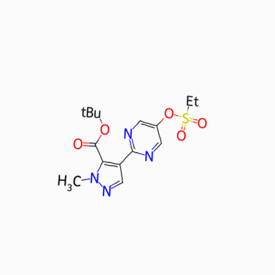 CCS(=O)(=O)Oc1cnc(-c2cnn(C)c2C(=O)OC(C)(C)C)nc1